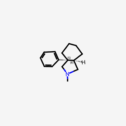 CN1C[C@@H]2CCCC[C@]2(c2ccccc2)C1